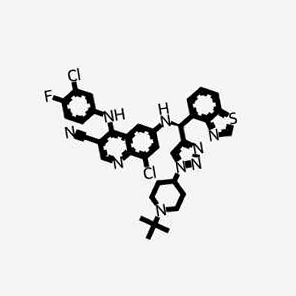 CC(C)(C)N1CCC(n2cc([C@@H](Nc3cc(Cl)c4ncc(C#N)c(Nc5ccc(F)c(Cl)c5)c4c3)c3cccc4scnc34)nn2)CC1